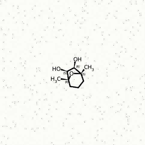 C[C@]12CCC[C@](C)(O1)[C@H](O)[C@@H]2O